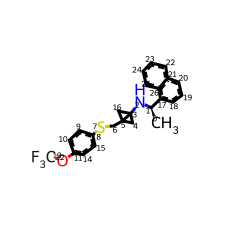 C[C@@H](NC12CC1(CSc1ccc(OC(F)(F)F)cc1)C2)c1cccc2ccccc12